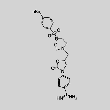 CCCCc1ccc(S(=O)(=O)N2CCN(CC3CN(c4ccc(C(=N)N)cc4)C(=O)O3)CC2)cc1